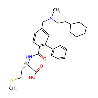 CSCC[C@H](NC(=O)c1ccc(CN(C)CCC2CCCCC2)cc1-c1ccccc1)C(=O)O